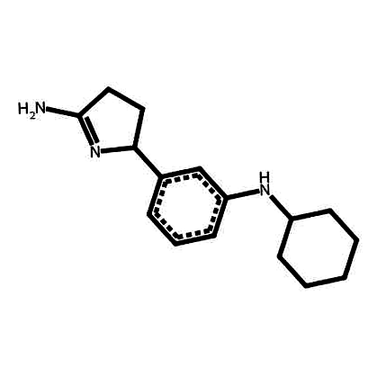 NC1=NC(c2cccc(NC3CCCCC3)c2)CC1